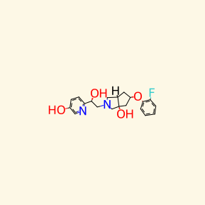 Oc1ccc([C@@H](O)CN2C[C@@H]3C[C@@H](Oc4ccccc4F)C[C@]3(O)C2)nc1